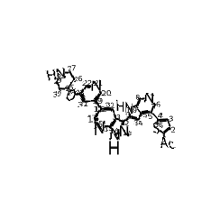 CC(=O)c1ccc(-c2cncc3[nH]c(-c4n[nH]c5ncc(-c6cncc(OC7CCNCC7)c6)cc45)cc23)s1